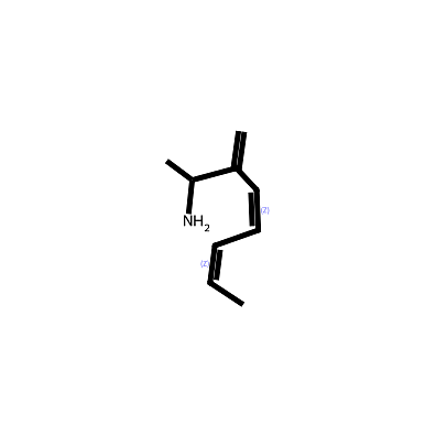 C=C(/C=C\C=C/C)C(C)N